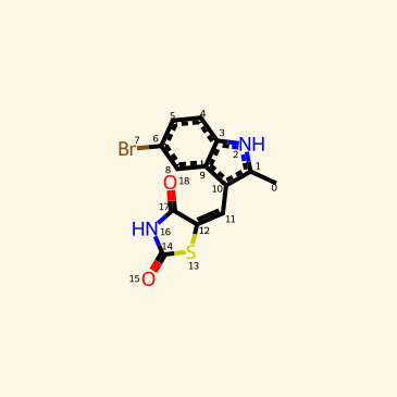 Cc1[nH]c2ccc(Br)cc2c1/C=C1/SC(=O)NC1=O